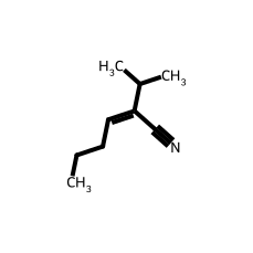 CCC/C=C(\C#N)C(C)C